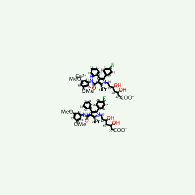 COc1cc(NC(=O)c2c(-c3ccccc3)c(-c3ccc(F)cc3)n(CC[C@@H](O)C[C@@H](O)CC(=O)[O-])c2C(C)C)cc(OC)c1.COc1cc(NC(=O)c2c(-c3ccccc3)c(-c3ccc(F)cc3)n(CC[C@@H](O)C[C@@H](O)CC(=O)[O-])c2C(C)C)cc(OC)c1.[Ca+2]